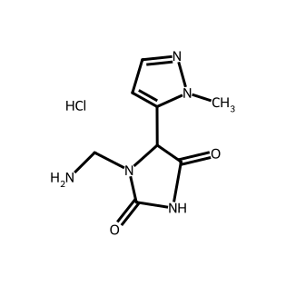 Cl.Cn1nccc1C1C(=O)NC(=O)N1CN